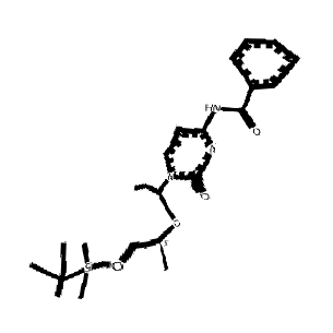 CC(O[C@@H](C)CO[Si](C)(C)C(C)(C)C)n1ccc(NC(=O)c2ccccc2)nc1=O